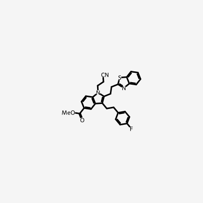 COC(=O)c1ccc2c(c1)c(CCc1ccc(F)cc1)c(CCc1nc3ccccc3s1)n2CCC#N